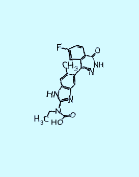 CCN(C(=O)O)c1nc2cc(-c3n[nH]c(=O)c4ccc(F)cc34)c(C)cc2[nH]1